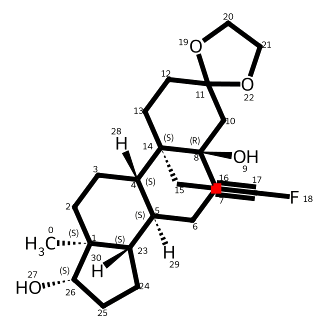 C[C@]12CC[C@H]3[C@@H](CC[C@@]4(O)CC5(CC[C@]34CC#CF)OCCO5)[C@@H]1CC[C@@H]2O